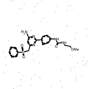 COCCNC(=O)Nc1ccc(-c2nc(N)cc(CS(=O)(=O)c3ccccc3)n2)cc1